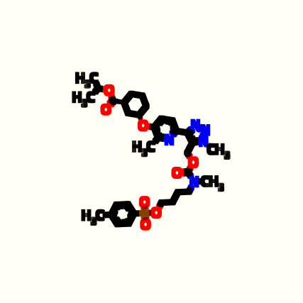 Cc1ccc(S(=O)(=O)OCCCCN(C)C(=O)OCc2c(-c3ccc(O[C@H]4CCC[C@H](C(=O)OC(C)C)C4)c(C)n3)nnn2C)cc1